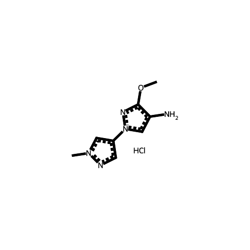 COc1nn(-c2cnn(C)c2)cc1N.Cl